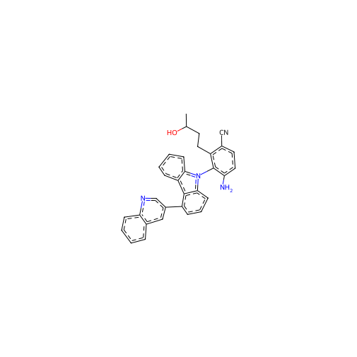 CC(O)CCc1c(C#N)ccc(N)c1-n1c2ccccc2c2c(-c3cnc4ccccc4c3)cccc21